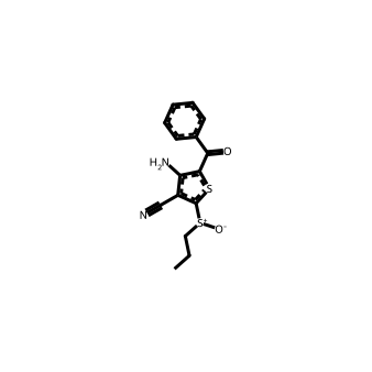 CCC[S+]([O-])c1sc(C(=O)c2ccccc2)c(N)c1C#N